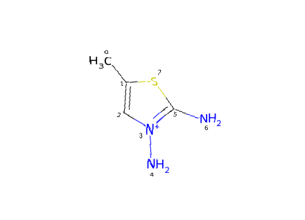 Cc1c[n+](N)c(N)s1